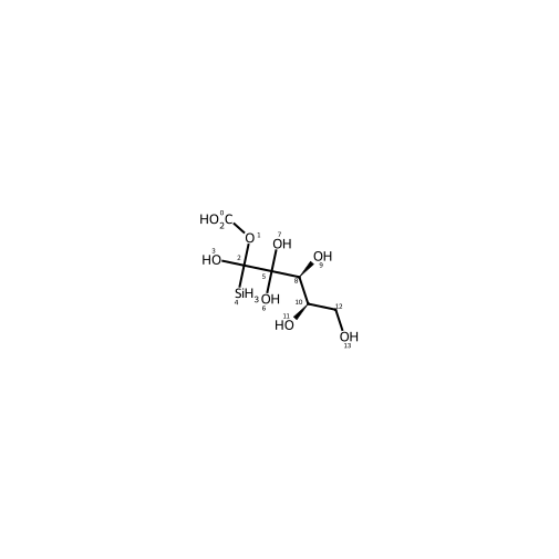 O=C(O)OC(O)([SiH3])C(O)(O)[C@@H](O)[C@H](O)CO